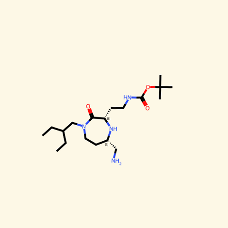 CCC(CC)CN1CC[C@@H](CN)N[C@@H](CCNC(=O)OC(C)(C)C)C1=O